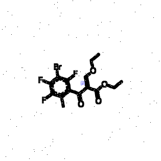 CCO/C=C(\C(=O)OCC)C(=O)c1c(C)c(F)c(F)c(Br)c1F